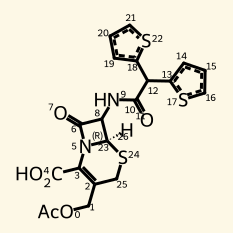 CC(=O)OCC1=C(C(=O)O)N2C(=O)C(NC(=O)C(c3cccs3)c3cccs3)[C@H]2SC1